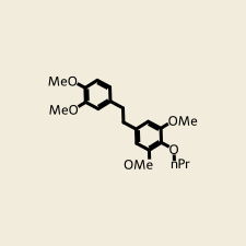 CCCOc1c(OC)cc(CCc2ccc(OC)c(OC)c2)cc1OC